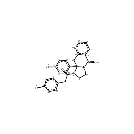 CCc1ccc(CC(=O)N2CCN3C(=O)c4cccnc4CC23c2ccc(Cl)cc2)cc1